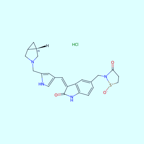 Cl.O=C1Nc2ccc(CN3C(=O)CC[S+]3[O-])cc2C1=Cc1c[nH]c(CN2CC3C[C@@H]3C2)c1